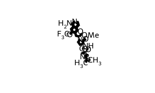 COC(=O)C(Cc1cc2ccnc(N)c2cc1OC(F)(F)F)N1CCC(NS(=O)(=O)c2cnc(N(C)C)s2)C1=O